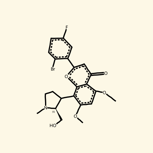 COc1cc(OC)c2c(=O)cc(-c3cc(F)ccc3Br)oc2c1C1CCN(C)[C@@H]1CO